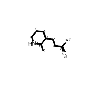 CC1NCCCC1CCC(=O)F